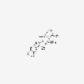 CC[C@@H](NC(=O)C(=O)[C@H](CC(F)(F)F)N(C=O)OC(C)(C)C)c1ccc2ccccc2c1